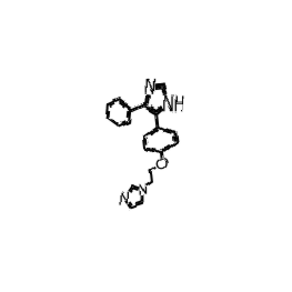 c1ccc(-c2nc[nH]c2-c2ccc(OCCn3ccnc3)cc2)cc1